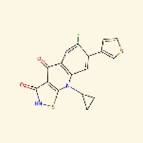 O=c1[nH]sc2c1c(=O)c1cc(F)c(-c3ccsc3)cc1n2C1CC1